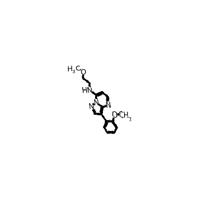 COCCNc1ccnc2c(-c3ccccc3OC)cnn12